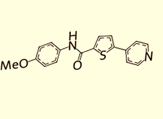 COc1ccc(NC(=O)c2ccc(-c3ccncc3)s2)cc1